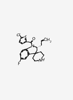 C=CC[C@H]1N(C(=O)c2ccc(Cl)s2)c2ccc(F)cc2C12CCNCC2